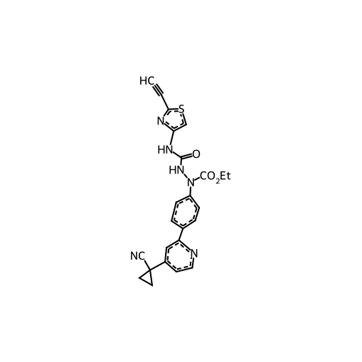 C#Cc1nc(NC(=O)NN(C(=O)OCC)c2ccc(-c3cc(C4(C#N)CC4)ccn3)cc2)cs1